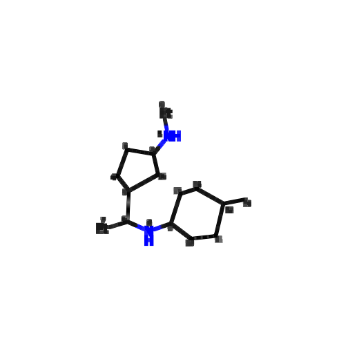 CCNC1CCC(C(CC)NC2CCC(C)CC2)C1